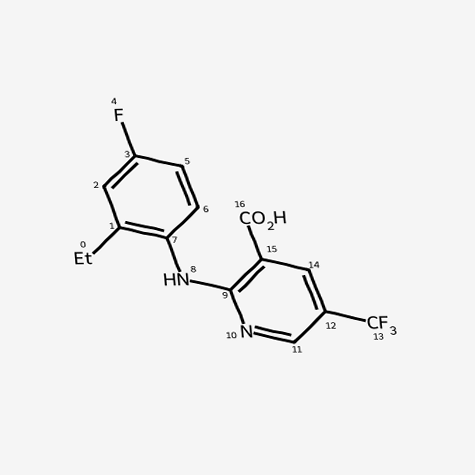 CCc1cc(F)ccc1Nc1ncc(C(F)(F)F)cc1C(=O)O